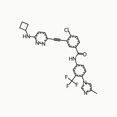 Cc1cn(-c2ccc(NC(=O)c3ccc(Cl)c(C#Cc4ccc(NC5CCC5)nn4)c3)cc2C(F)(F)F)cn1